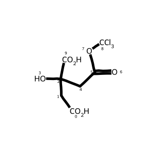 O=C(O)CC(O)(CC(=O)OC(Cl)(Cl)Cl)C(=O)O